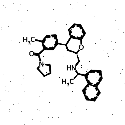 Cc1ccc([C@@H]2C[C@H](CN[C@H](C)c3cccc4ccccc34)Oc3ccccc32)cc1C(=O)N1CCCC1